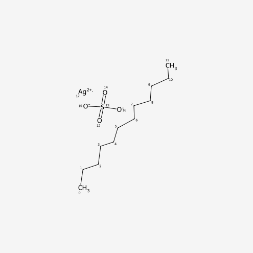 CCCCCCCCCCCC.O=S(=O)([O-])[O-].[Ag+2]